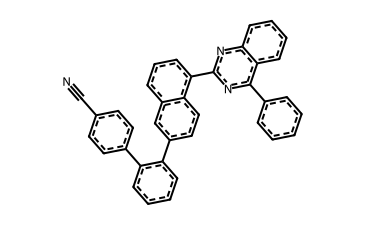 N#Cc1ccc(-c2ccccc2-c2ccc3c(-c4nc(-c5ccccc5)c5ccccc5n4)cccc3c2)cc1